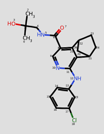 CC(C)(O)CNC(=O)c1cnc(Nc2cccc(Cl)c2)c2c1C1CCC2C1